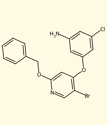 Nc1cc(Cl)cc(Oc2cc(OCc3ccccc3)ncc2Br)c1